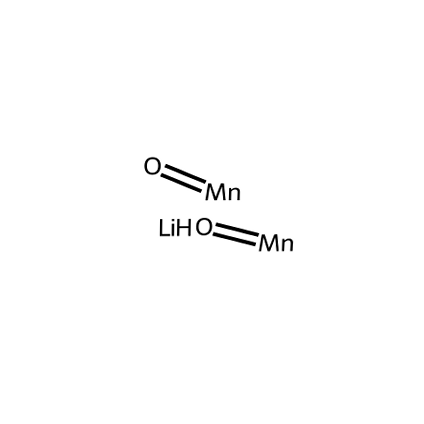 [LiH].[O]=[Mn].[O]=[Mn]